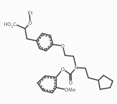 CCOC(Cc1ccc(OCCN(CCC2CCCC2)C(=O)Oc2ccccc2OC)cc1)C(=O)O